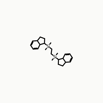 C[Si](C)(CC[Si](C)(C)C1CCC2C=CC=CC21)C1CCC2C=CC=CC21